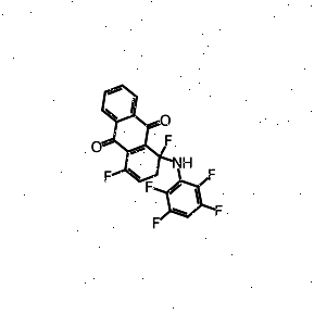 O=C1C2=C(C(=O)c3ccccc31)C(F)(Nc1c(F)c(F)cc(F)c1F)CC=C2F